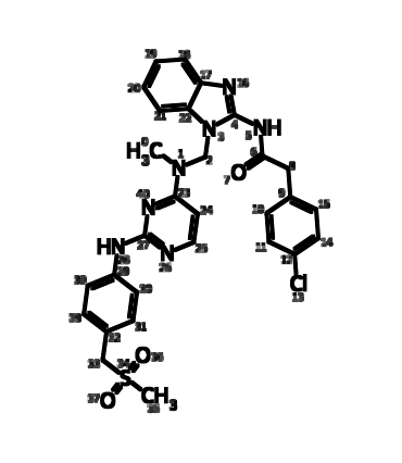 CN(Cn1c(NC(=O)Cc2ccc(Cl)cc2)nc2ccccc21)c1ccnc(Nc2ccc(CS(C)(=O)=O)cc2)n1